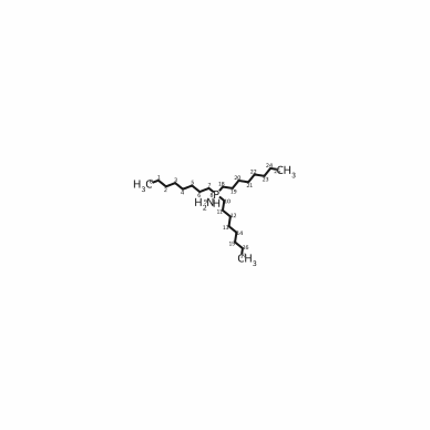 CCCCCCCC[PH](N)(CCCCCCCC)CCCCCCCC